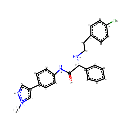 Cn1cc(-c2ccc(NC(=O)[C@H](NCCc3ccc(Cl)cc3)c3ccccc3)cc2)cn1